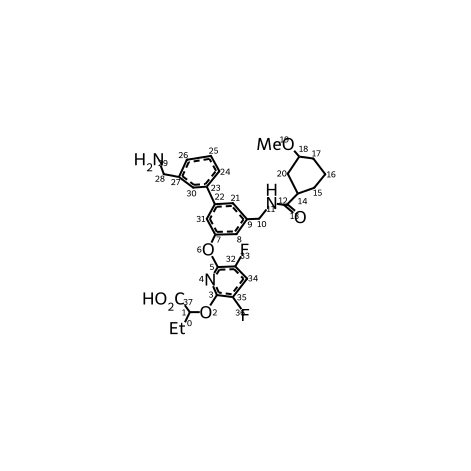 CCC(Oc1nc(Oc2cc(CNC(=O)C3CCCC(OC)C3)cc(-c3cccc(CN)c3)c2)c(F)cc1F)C(=O)O